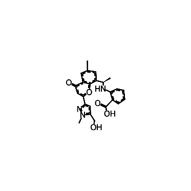 Cc1cc([C@@H](C)Nc2ccccc2C(=O)O)c2oc(-c3cc(CO)n(C)n3)cc(=O)c2c1